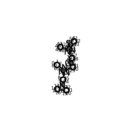 c1ccc(-c2nc(-c3ccc(-n4c5ccccc5c5ccccc54)cc3)nc(-c3cccc4c3oc3cc(-c5nc(-c6ccccc6)c6sc7ccccc7c6n5)ccc34)n2)cc1